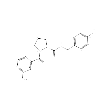 COc1cc(C(=O)N2CCC[C@H]2C(=O)NCc2ccc(Cl)cc2)ccn1